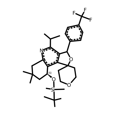 CC(C)c1nc2c(c3c1C(c1ccc(C(F)(F)F)cc1)OC31CCOCC1)[C@@H](O[Si](C)(C)C(C)(C)C)CC(C)(C)C2